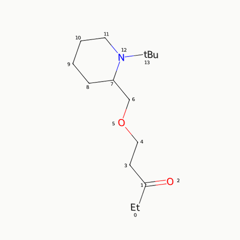 CCC(=O)CCOCC1CCCCN1C(C)(C)C